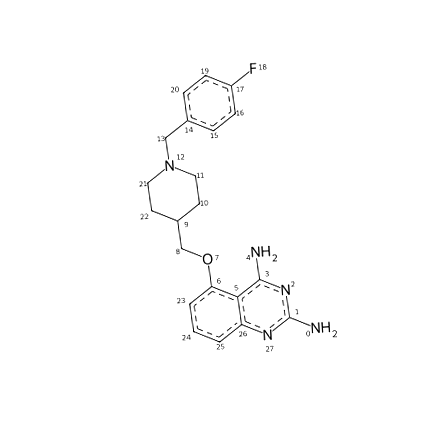 Nc1nc(N)c2c(OCC3CCN(Cc4ccc(F)cc4)CC3)cccc2n1